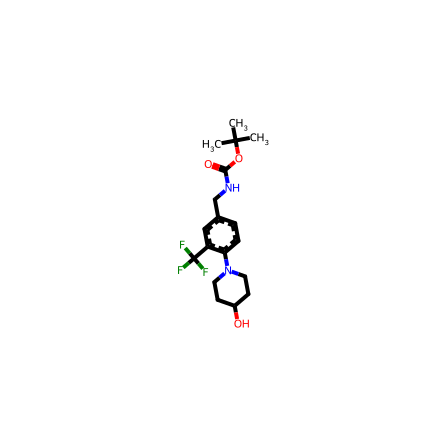 CC(C)(C)OC(=O)NCc1ccc(N2CCC(O)CC2)c(C(F)(F)F)c1